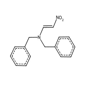 O=[N+]([O-])C=CN(Cc1ccccc1)Cc1ccccc1